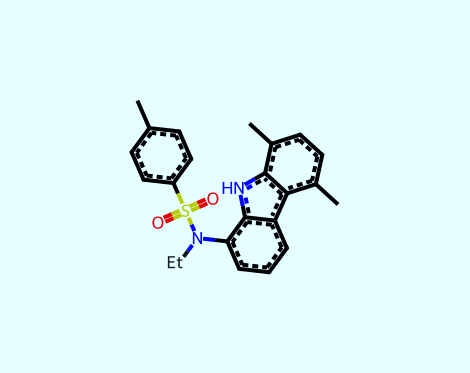 CCN(c1cccc2c1[nH]c1c(C)ccc(C)c12)S(=O)(=O)c1ccc(C)cc1